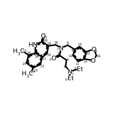 CCN(CC)CCC(=O)N(Cc1ccc2c(c1)OCO2)Cc1cc2cc(C)cc(C)c2[nH]c1=O